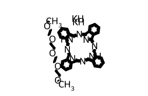 COCCOCCOCCOCCOC.[KH].[KH].c1ccc2c(c1)-c1nc-2nc2[nH]c(nc3nc(nc4[nH]c(n1)c1ccccc41)-c1ccccc1-3)c1ccccc21